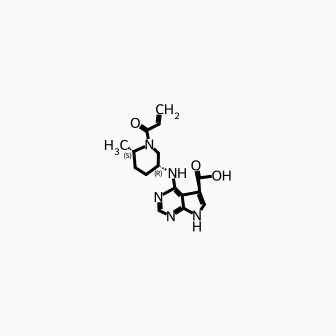 C=CC(=O)N1C[C@H](Nc2ncnc3[nH]cc(C(=O)O)c23)CC[C@@H]1C